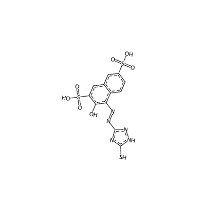 O=S(=O)(O)c1ccc2c(N=Nc3n[nH]c(S)n3)c(O)c(S(=O)(=O)O)cc2c1